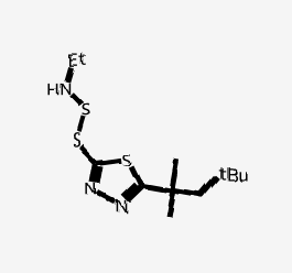 CCNSSc1nnc(C(C)(C)CC(C)(C)C)s1